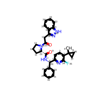 CC1(c2ccc([C@@H](NC(=O)[C@@H]3CCCN3C(=O)Cc3n[nH]c4ccccc34)c3ccccc3)nc2F)CC1